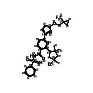 CC[C@]1(C)CN(c2nc(-n3ccc(OCC4(C(F)(F)F)CC4)n3)ccc2C(=O)NS(=N)(=O)c2ccccc2)C(C)(C)C1